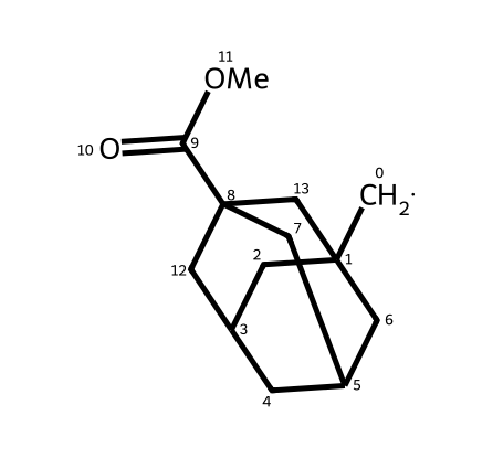 [CH2]C12CC3CC(C1)CC(C(=O)OC)(C3)C2